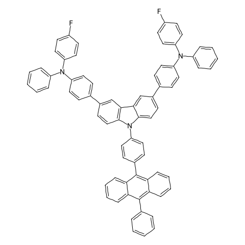 Fc1ccc(N(c2ccccc2)c2ccc(-c3ccc4c(c3)c3cc(-c5ccc(N(c6ccccc6)c6ccc(F)cc6)cc5)ccc3n4-c3ccc(-c4c5ccccc5c(-c5ccccc5)c5ccccc45)cc3)cc2)cc1